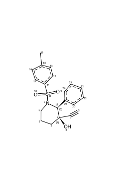 C#C[C@]1(O)CCCN(S(=O)(=O)c2ccc(C)cc2)[C@H]1c1ccccc1